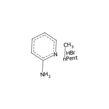 Br.CCCCCC.Nc1ccccn1